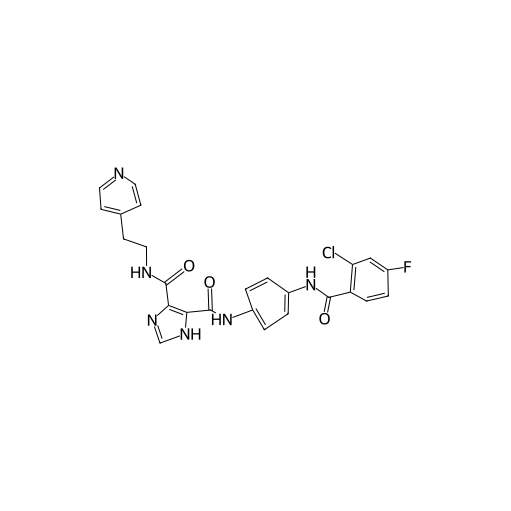 O=C(Nc1ccc(NC(=O)c2[nH]cnc2C(=O)NCCc2ccncc2)cc1)c1ccc(F)cc1Cl